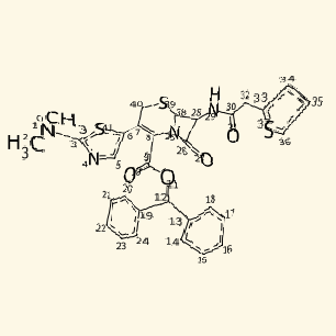 CN(C)c1ncc(C2=C(C(=O)OC(c3ccccc3)c3ccccc3)N3C(=O)C(NC(=O)Cc4cccs4)C3SC2)s1